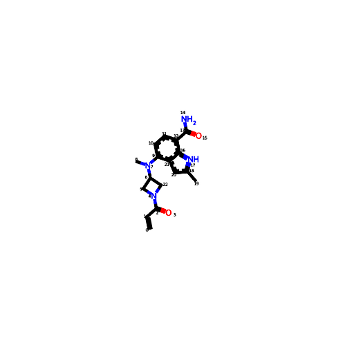 C=CC(=O)N1CC(N(C)c2ccc(C(N)=O)c3[nH]c(C)cc23)C1